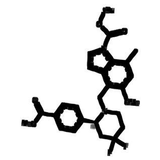 COC(=O)c1ccc([C@@H]2CC(F)(F)CCN2Cc2c(OC)cc(C)c3c2ccn3C(=O)OC(C)(C)C)cc1